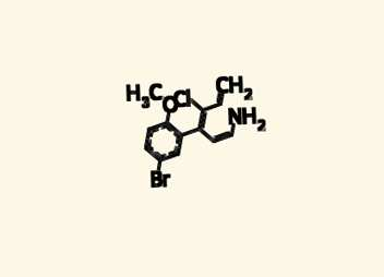 C=C/C(Cl)=C(\C=C/N)c1cc(Br)ccc1OC